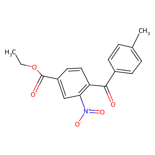 CCOC(=O)c1ccc(C(=O)c2ccc(C)cc2)c([N+](=O)[O-])c1